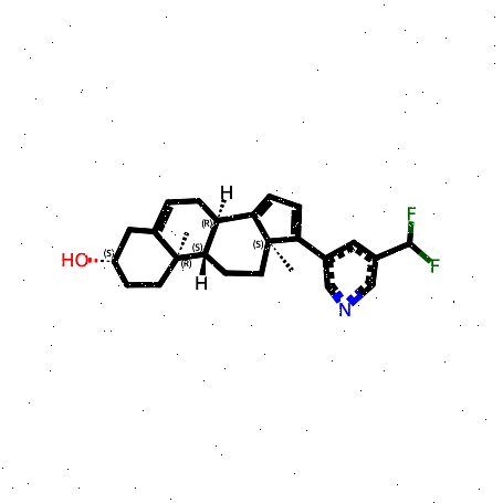 C[C@]12CC[C@H]3[C@@H](CC=C4C[C@@H](O)CC[C@@]43C)C1=CC=C2c1cncc(C(F)F)c1